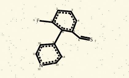 Fc1cccc(C=S)c1-c1ccncc1